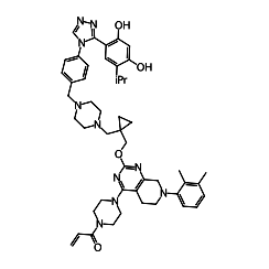 C=CC(=O)N1CCN(c2nc(OCC3(CN4CCN(Cc5ccc(-n6cnnc6-c6cc(C(C)C)c(O)cc6O)cc5)CC4)CC3)nc3c2CCN(c2cccc(C)c2C)C3)CC1